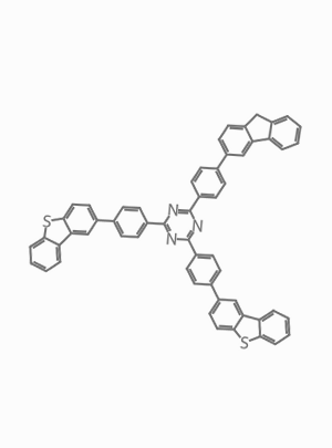 c1ccc2c(c1)Cc1ccc(-c3ccc(-c4nc(-c5ccc(-c6ccc7sc8ccccc8c7c6)cc5)nc(-c5ccc(-c6ccc7sc8ccccc8c7c6)cc5)n4)cc3)cc1-2